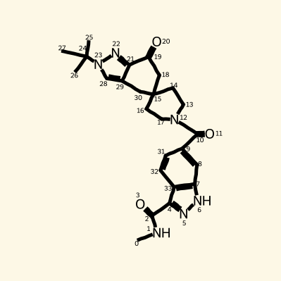 CNC(=O)c1n[nH]c2cc(C(=O)N3CCC4(CC3)CC(=O)c3nn(C(C)(C)C)cc3C4)ccc12